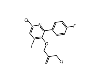 C=C(CCl)COc1c(I)cc(Cl)nc1-c1ccc(F)cc1